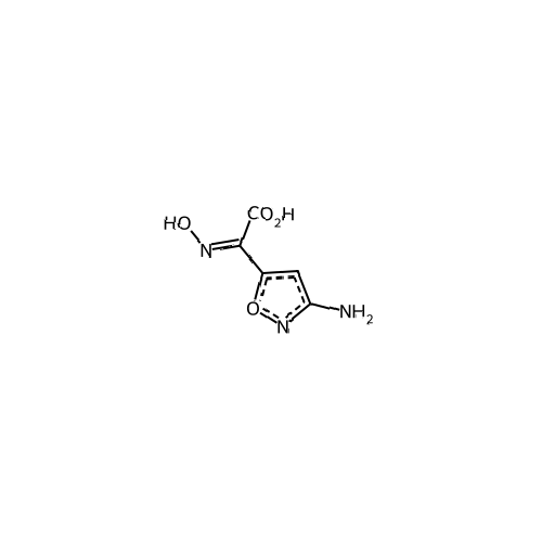 Nc1cc(C(=NO)C(=O)O)on1